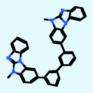 Cn1c2ccc(-c3cccc(-c4cccc(-c5ccc6c(c5)n5c7ccccc7nc5n6C)c4)c3)cc2n2c3ccccc3nc12